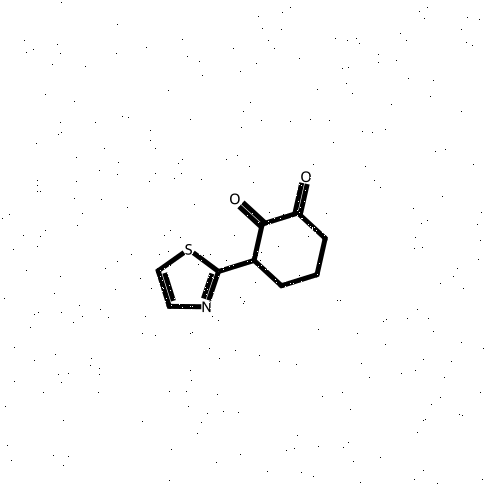 O=C1CCCC(c2nccs2)C1=O